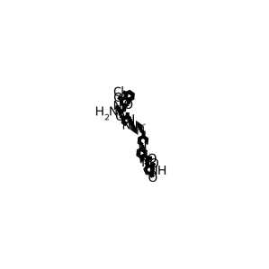 Cc1nc(N2CCN(CC3CCN(c4ccc5c(c4)C(=O)N(C4CCC(=O)NC4=O)C5)CC3)[C@@H](C)C2)ncc1Oc1cc2oc3cccc(Cl)c3c(=O)c2nc1N